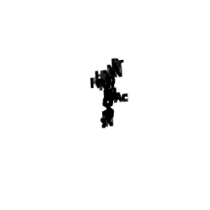 CC(=O)c1nn(CC(=O)N2C[C@H](F)C[C@H]2C(=O)Nc2cncc(Br)n2)c2ccc(-c3ccc4nc(C)cn4c3)cc12